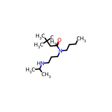 CCCCN(CCCNC(C)C)C(=O)CC(C)(C)C